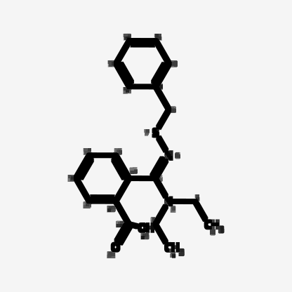 CCN(CC)/C(=N/SCc1ccccc1)c1ccccc1C(=O)O